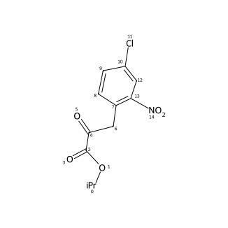 CC(C)OC(=O)C(=O)Cc1ccc(Cl)cc1[N+](=O)[O-]